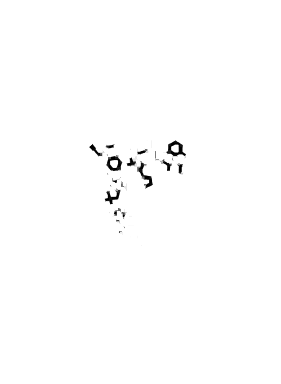 C#CCN1C(=O)COc2cc(F)c(/N=c3\snc4n3CC(C)(C)C4)cc21.CC1(C)OC(c2ccco2)CN1C(=O)C(Cl)Cl.CCc1cccc(C)c1N(C(=O)CCl)C(C)COC.O=C(O)CNCP(=O)(O)O